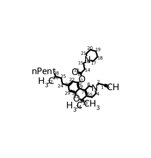 C#CCN1CCC2=C(C1)c1c(OC(=O)CCN3CCCCC3)cc(CCC(C)CCCCC)cc1OC2(C)C